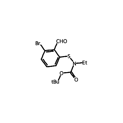 CCN(Sc1cccc(Br)c1C=O)C(=O)OC(C)(C)C